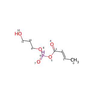 CC=CC(=O)O[PH](=O)OCCCO